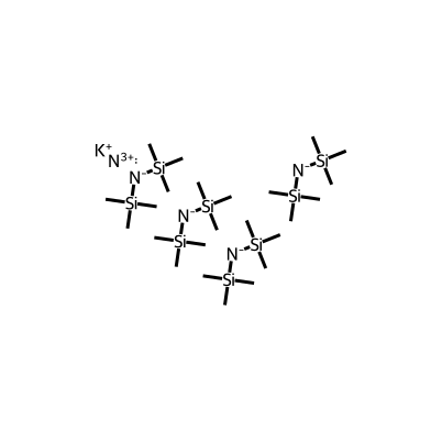 C[Si](C)(C)[N-][Si](C)(C)C.C[Si](C)(C)[N-][Si](C)(C)C.C[Si](C)(C)[N-][Si](C)(C)C.C[Si](C)(C)[N-][Si](C)(C)C.[K+].[N+3]